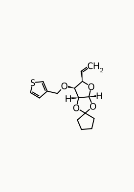 C=C[C@H]1O[C@@H]2OC3(CCCC3)O[C@@H]2[C@H]1OCc1ccsc1